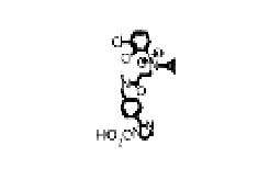 CN(Cc1ccc(C2=NCCN2C(=O)O)cc1)C(=O)CCN(C1CC1)S(=O)(=O)c1cccc(Cl)c1Cl